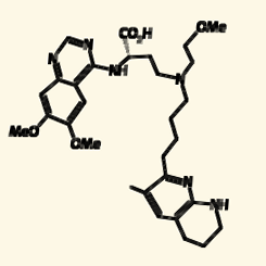 COCCN(CCCCc1nc2c(cc1C)CCCN2)CC[C@H](Nc1ncnc2cc(OC)c(OC)cc12)C(=O)O